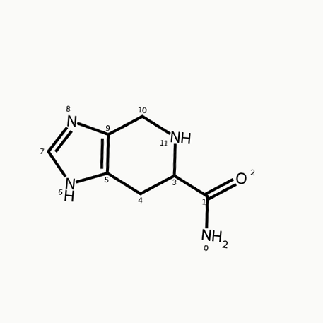 NC(=O)C1Cc2[nH]cnc2CN1